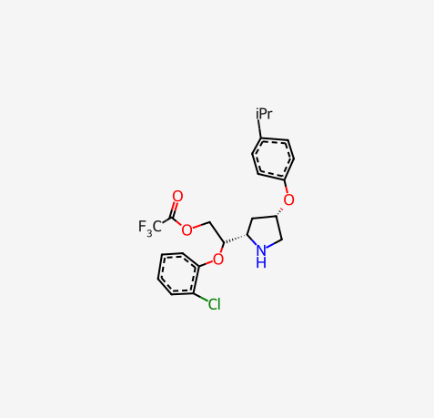 CC(C)c1ccc(O[C@@H]2CN[C@H](C(COC(=O)C(F)(F)F)Oc3ccccc3Cl)C2)cc1